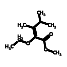 COC(=O)C(O[SiH2]C)=C(C)C(C)C